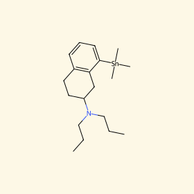 CCCN(CCC)C1CCc2ccc[c]([Sn]([CH3])([CH3])[CH3])c2C1